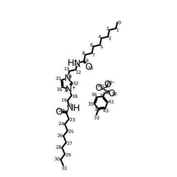 CCCCCCCCCC(=O)NCCn1cc[n+](CCNC(=O)CCCCCCCCC)c1.Cc1ccc(S(=O)(=O)[O-])cc1